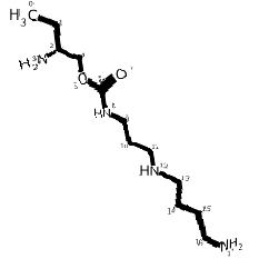 CC[C@H](N)COC(=O)NCCCNCCCCN